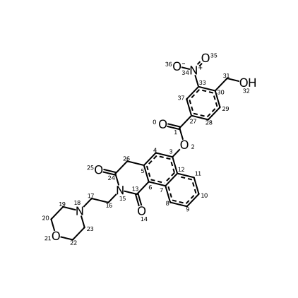 O=C(Oc1cc2c(c3ccccc13)C(=O)N(CCN1CCOCC1)C(=O)C2)c1ccc(CO)c([N+](=O)[O-])c1